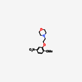 COc1ccc([N+](=O)[O-])cc1OCCN1CCOCC1